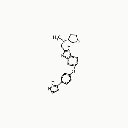 CN(Cc1nc2cc(Oc3ccc(-c4ccn[nH]4)cc3)ccc2[nH]1)[C@@H]1CCOC1